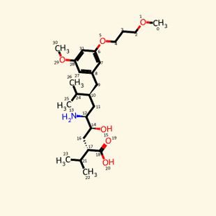 COCCCOc1cc(C[C@@H](C[C@H](N)[C@@H](O)C[C@H](C(=O)O)C(C)C)C(C)C)cc(OC)c1